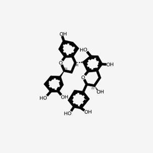 Oc1ccc2c(c1)O[C@H](c1ccc(O)c(O)c1)C[C@H]2c1c(O)cc(O)c2c1OC(c1ccc(O)c(O)c1)[C@@H](O)C2